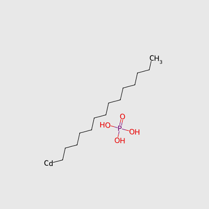 CCCCCCCCCCCCC[CH2][Cd].O=P(O)(O)O